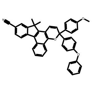 COc1ccc(C2(c3ccc(Oc4ccccc4)cc3)C=Cc3c4c(c5ccccc5c3O2)-c2ccc(C#N)cc2C4(C)C)cc1